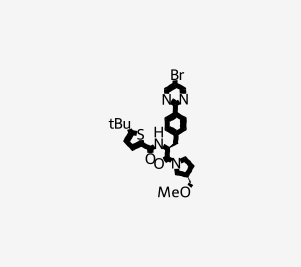 COC[C@H]1CCN(C(=O)[C@H](Cc2ccc(-c3ncc(Br)cn3)cc2)NC(=O)c2ccc(C(C)(C)C)s2)C1